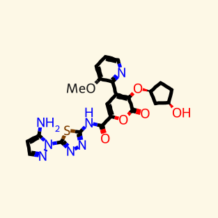 COc1cccnc1-c1cc(C(=O)Nc2nnc(-n3nccc3N)s2)oc(=O)c1O[C@H]1CC[C@@H](O)C1